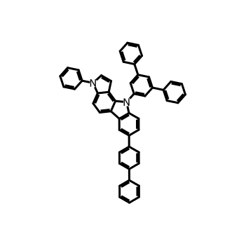 c1ccc(-c2ccc(-c3ccc4c(c3)c3ccc5c(ccn5-c5ccccc5)c3n4-c3cc(-c4ccccc4)cc(-c4ccccc4)c3)cc2)cc1